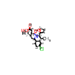 CCC(C1CCCO1)N1C(=O)[C@@](C)(CC(=O)O)CCC1c1ccc(Cl)cc1